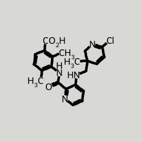 Cc1ccc(C(=O)O)c(C)c1NC(=O)c1ncccc1NCC1(C)C=CC(Cl)=NC1